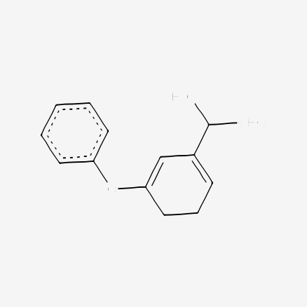 CC(C=O)C1=CCCC(Oc2ccccc2)=C1